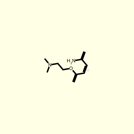 C=C(N)/C=C\C(=C)OCCN(C)C